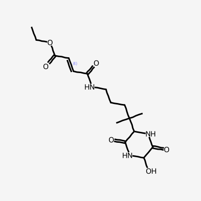 CCOC(=O)/C=C/C(=O)NCCCC(C)(C)C1NC(=O)C(O)NC1=O